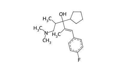 CC(=Cc1ccc(F)cc1)C(O)(C(C)CN(C)C)C1CCCC1